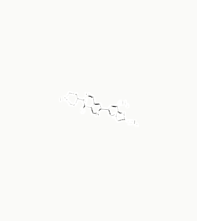 Cc1cn2cc(-c3cc4cnn(C5CCNCC5)c(=O)c4cn3)cc(C)c2n1